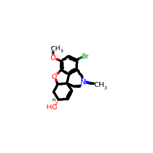 COc1cc(Br)c2c3c1OC1C[C@@H](O)C=CC31CCN(C)C2